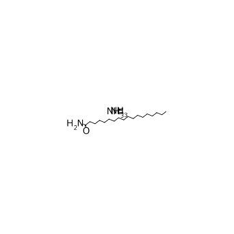 C=C.C=C.CCCCCCCCCCCCCCCCCC(N)=O.N.N